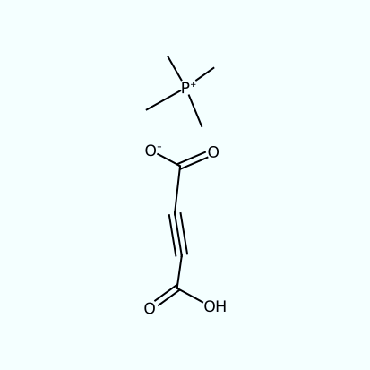 C[P+](C)(C)C.O=C([O-])C#CC(=O)O